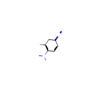 CN(C)C1=C(O)CC(=[N+]=[N-])C=C1